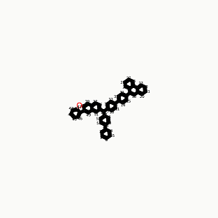 c1ccc(-c2ccc(C(c3ccc(-c4ccc(-c5cc6ccccc6c6ccccc56)cc4)cc3)c3ccc4cc5oc6ccccc6c5cc4c3)cc2)cc1